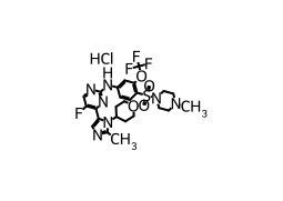 Cc1ncc(-c2nc(Nc3ccc(S(=O)(=O)N4CCN(C)CC4)c(OC(F)(F)F)c3)ncc2F)n1C1CCOCC1.Cl